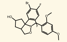 COc1ccc(CN2OCC3CC(O)CC32c2cc(Br)c(F)cc2F)c(OC)c1